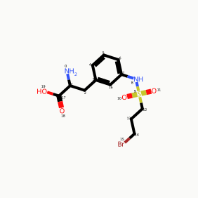 NC(Cc1cccc(NS(=O)(=O)CCCBr)c1)C(=O)O